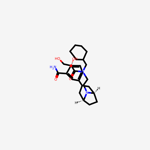 NC(=O)c1cccc(C2C[C@H]3CC[C@@H](C2)N3CCN(CC2CCCCC2)C(=O)[C@@H](O)CO)c1